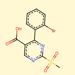 CS(=O)(=O)c1ncc(C(=O)O)c(-c2ccccc2Br)n1